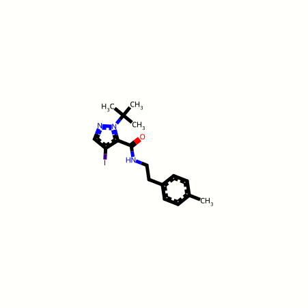 Cc1ccc(CCNC(=O)c2c(I)cnn2C(C)(C)C)cc1